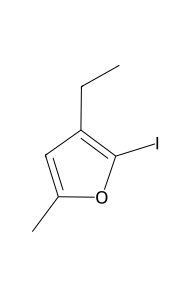 CCc1cc(C)oc1I